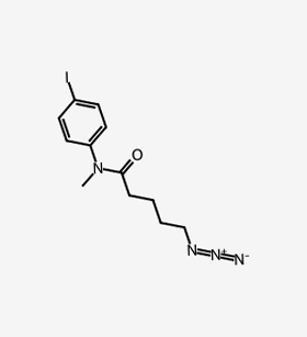 CN(C(=O)CCCCN=[N+]=[N-])c1ccc(I)cc1